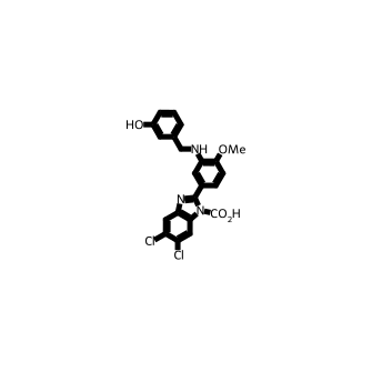 COc1ccc(-c2nc3cc(Cl)c(Cl)cc3n2C(=O)O)cc1NCc1cccc(O)c1